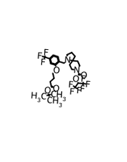 CC(C)(C)OC(=O)CCCOc1cc(C(F)(F)F)ccc1CN1CCCC12CCN(C(=O)OC(C(F)(F)F)C(F)(F)F)CC2